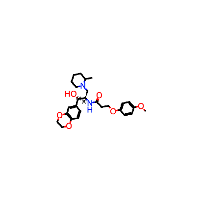 COc1ccc(OCCC(=O)N[C@H](CN2CCCCC2C)[C@H](O)c2ccc3c(c2)OCCO3)cc1